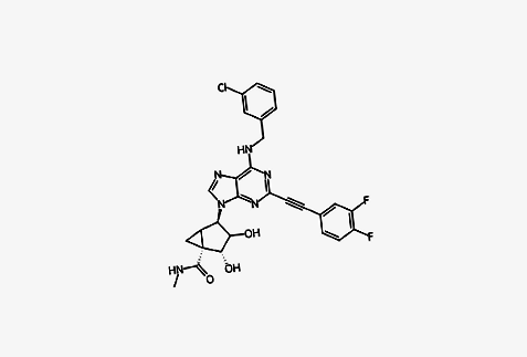 CNC(=O)[C@]12CC1[C@@H](n1cnc3c(NCc4cccc(Cl)c4)nc(C#Cc4ccc(F)c(F)c4)nc31)C(O)[C@@H]2O